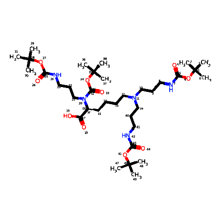 CC(C)(C)OC(=O)NCCCN(CCCC[C@@H](C(=O)O)N(CCCNC(=O)OC(C)(C)C)C(=O)OC(C)(C)C)CCCNC(=O)OC(C)(C)C